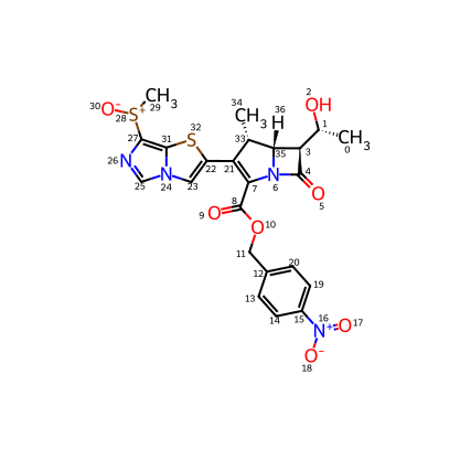 C[C@@H](O)[C@H]1C(=O)N2C(C(=O)OCc3ccc([N+](=O)[O-])cc3)=C(c3cn4cnc([S+](C)[O-])c4s3)[C@H](C)[C@H]12